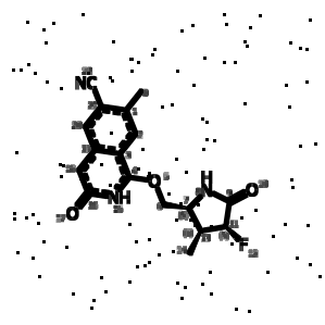 Cc1cc2c(OC[C@H]3NC(=O)[C@@H](F)[C@H]3C)[nH]c(=O)cc2cc1C#N